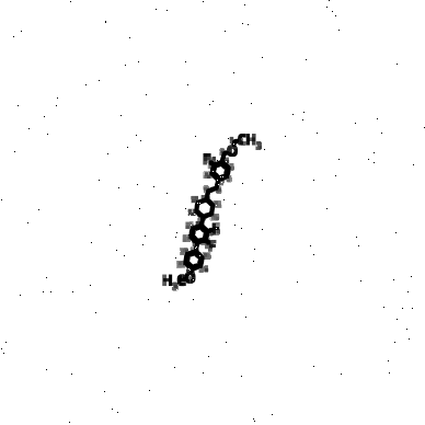 CCOCc1ccc(CCC2CCC(c3ccc(-c4ccc(OC)cc4)c(F)c3F)CC2)cc1F